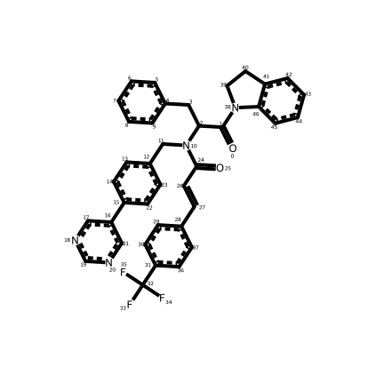 O=C(C(Cc1ccccc1)N(Cc1ccc(-c2cncnc2)cc1)C(=O)C=Cc1ccc(C(F)(F)F)cc1)N1CCc2ccccc21